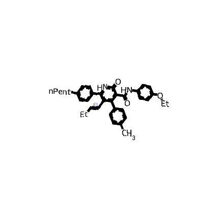 CC/C=C/c1c(-c2ccc(CCCCC)cc2)[nH]c(=O)c(C(=O)Nc2ccc(OCC)cc2)c1-c1ccc(C)cc1